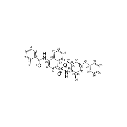 Cc1ccccc1C(=O)Nc1ccc(S(=O)(=O)N[C@H]2[C@H](C)CN(Cc3ccccc3)C[C@@H]2C)c2ccccc12